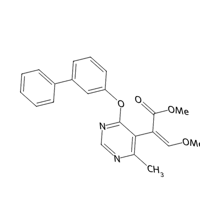 COC=C(C(=O)OC)c1c(C)ncnc1Oc1cccc(-c2ccccc2)c1